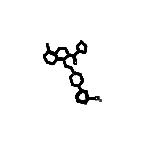 O=C(C1CCCC1)N1CCC2=C(F)CCCC2=C1CCN1CCC(c2cccc(C(F)(F)F)c2)CC1